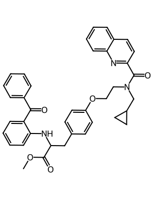 COC(=O)C(Cc1ccc(OCCN(CC2CC2)C(=O)c2ccc3ccccc3n2)cc1)Nc1ccccc1C(=O)c1ccccc1